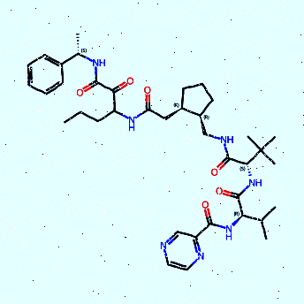 CCCC(NC(=O)C[C@H]1CCC[C@H]1CNC(=O)[C@@H](NC(=O)[C@H](NC(=O)c1cnccn1)C(C)C)C(C)(C)C)C(=O)C(=O)N[C@@H](C)c1ccccc1